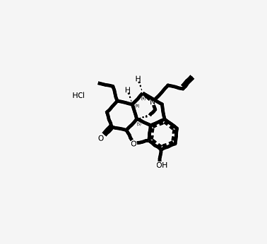 C=CCN1CC[C@]23c4c5ccc(O)c4OC2C(=O)CC(CC)[C@H]3[C@H]1C5.Cl